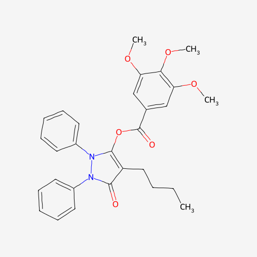 CCCCc1c(OC(=O)c2cc(OC)c(OC)c(OC)c2)n(-c2ccccc2)n(-c2ccccc2)c1=O